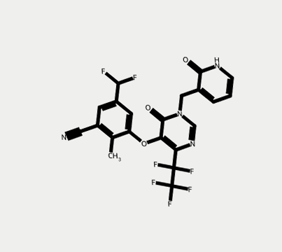 Cc1c(C#N)cc(C(F)F)cc1Oc1c(C(F)(F)C(F)(F)F)ncn(Cc2ccc[nH]c2=O)c1=O